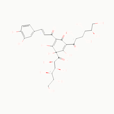 O=C(/C=C/c1ccc(O)c(O)c1)C1=C(O)C(O)(C(=O)[C@H](O)[C@@H](O)[C@H](O)[C@H](O)CO)C(O)=C(C(=O)[C@H](O)[C@@H](O)[C@H](O)[C@H](O)CO)C1=O